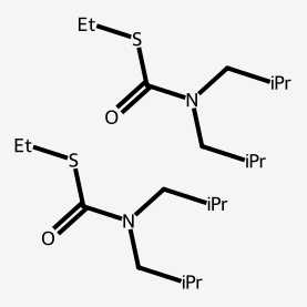 CCSC(=O)N(CC(C)C)CC(C)C.CCSC(=O)N(CC(C)C)CC(C)C